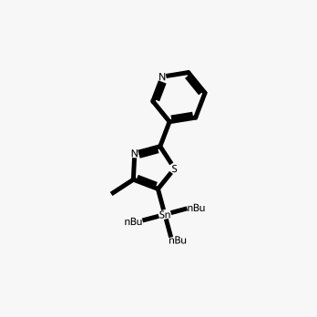 CCC[CH2][Sn]([CH2]CCC)([CH2]CCC)[c]1sc(-c2cccnc2)nc1C